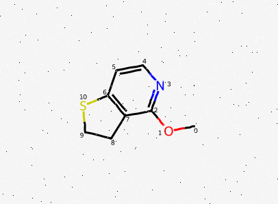 COc1nccc2c1CCS2